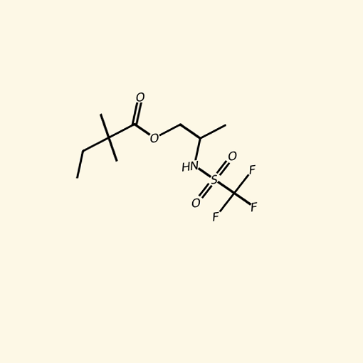 CCC(C)(C)C(=O)OCC(C)NS(=O)(=O)C(F)(F)F